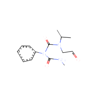 CNC(=O)N(C(=O)N(C[C]=O)C(C)C)c1ccccc1